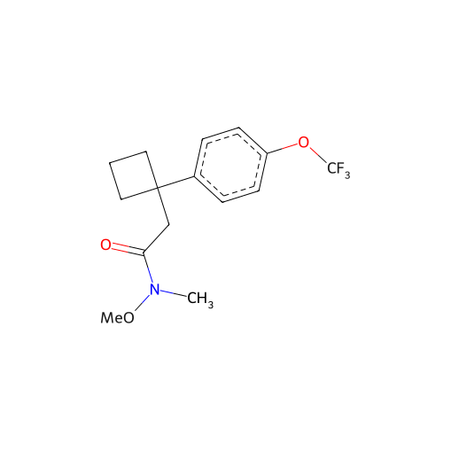 CON(C)C(=O)CC1(c2ccc(OC(F)(F)F)cc2)CCC1